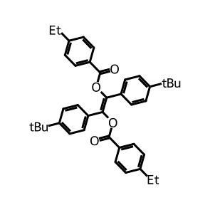 CCc1ccc(C(=O)O/C(=C(/OC(=O)c2ccc(CC)cc2)c2ccc(C(C)(C)C)cc2)c2ccc(C(C)(C)C)cc2)cc1